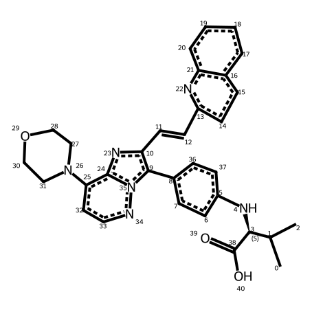 CC(C)[C@H](Nc1ccc(-c2c(C=Cc3ccc4ccccc4n3)nc3c(N4CCOCC4)ccnn23)cc1)C(=O)O